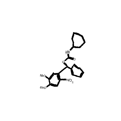 COc1cc(C(OC(=O)NC2CCCCC2)c2ccccc2)c([N+](=O)[O-])cc1OC